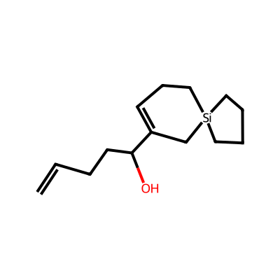 C=CCCC(O)C1=CCC[Si]2(CCCC2)C1